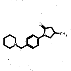 CC1CC(=O)N(c2ccc(CN3CCCCC3)cc2)C1